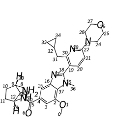 COc1cc(C(=O)N2C[C@H]3CC[C@@H]2[C@@H]3N)cc2nc(-c3ccc(N4CCOCC4)nc3CC3CC3)n(C)c12